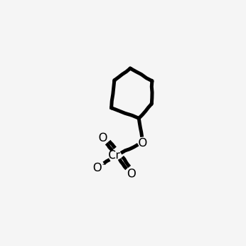 [O]=[Cr](=[O])([O-])[O]C1CCCCC1